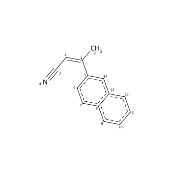 C/C(=C/C#N)c1ccc2ccccc2c1